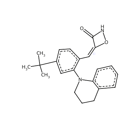 CC(C)(C)c1ccc(/C=C2/ONC2=O)c(N2CCCc3ccccc32)c1